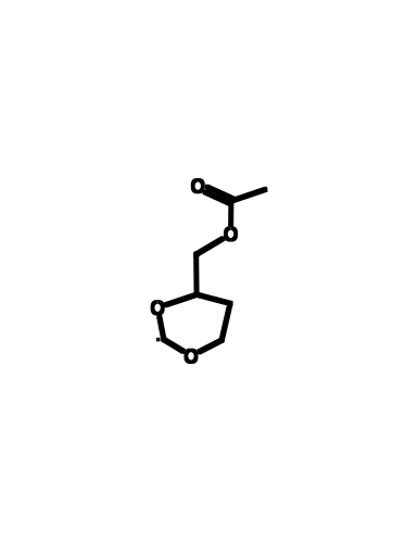 CC(=O)OCC1CCO[CH]O1